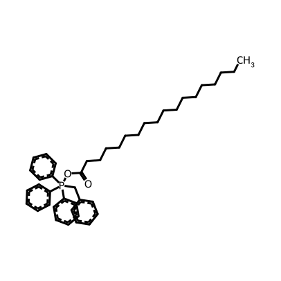 CCCCCCCCCCCCCCCCCC(=O)OP(Cc1ccccc1)(c1ccccc1)(c1ccccc1)c1ccccc1